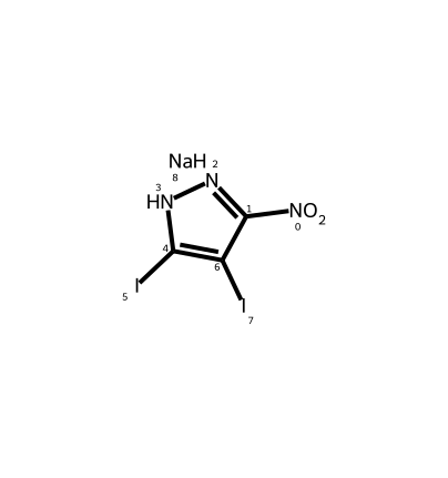 O=[N+]([O-])c1n[nH]c(I)c1I.[NaH]